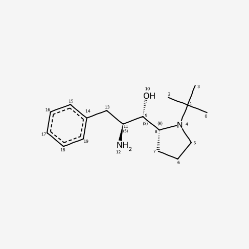 CC(C)(C)N1CCC[C@@H]1[C@@H](O)[C@@H](N)Cc1ccccc1